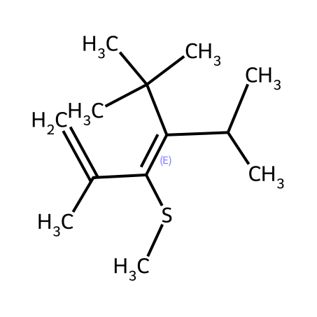 C=C(C)/C(SC)=C(/C(C)C)C(C)(C)C